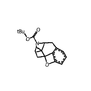 CC(C)(C)OC(=O)N1CCC23Oc4cccc(c42)CC1C3(C)C